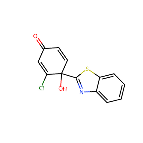 O=C1C=CC(O)(c2nc3ccccc3s2)C(Cl)=C1